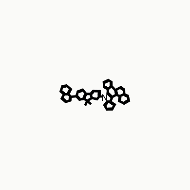 CC1(C)c2cc(-c3cccc4ccccc34)ccc2C2=CC=C(n3c4ccccc4c4c5c6ccccc6ccc5c5ccccc5c43)CC21